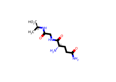 C[C@H](NC(=O)CNC(=O)[C@@H](N)CCC(N)=O)C(=O)O